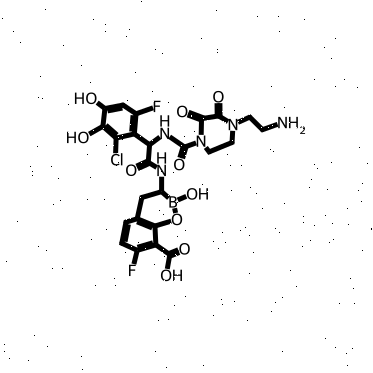 NCCN1CCN(C(=O)NC(C(=O)NC2Cc3ccc(F)c(C(=O)O)c3OB2O)c2c(F)cc(O)c(O)c2Cl)C(=O)C1=O